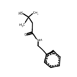 CC(C)(S)CC(=O)NCc1ccccc1